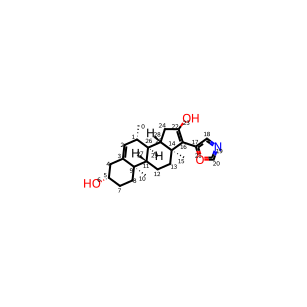 C[C@H]1C=C2C[C@@H](O)CC[C@]2(C)[C@H]2CC[C@]3(C)C(c4cnco4)=C(O)C[C@H]3[C@H]12